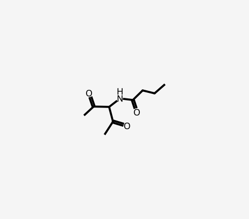 CCCC(=O)NC(C(C)=O)C(C)=O